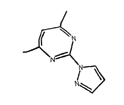 Cc1cc(C)nc(-n2cccn2)n1